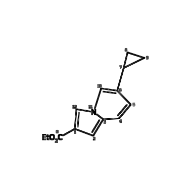 CCOC(=O)c1cc2ccc(C3CC3)cn2c1